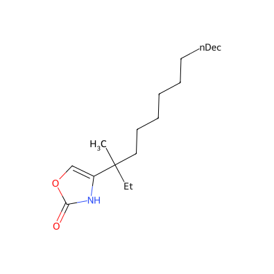 CCCCCCCCCCCCCCCCC(C)(CC)c1coc(=O)[nH]1